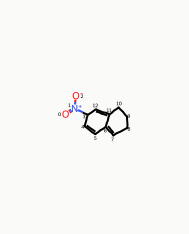 O=[N+]([O-])C1C=CC2=CCCCC2=C1